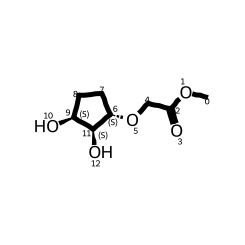 COC(=O)CO[C@H]1CC[C@H](O)[C@@H]1O